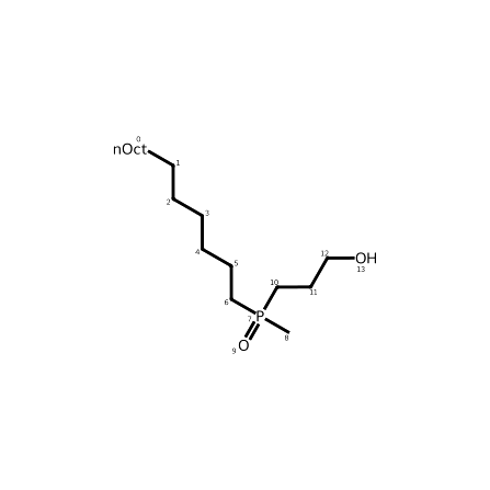 CCCCCCCCCCCCCCP(C)(=O)CCCO